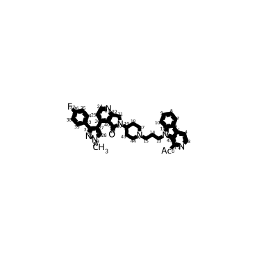 CC(=O)c1nccc2c3ccccc3n(CCCN3CCC(N4Cc5nccc(-c6cn(C)nc6-c6ccc(F)cc6)c5C4=O)CC3)c12